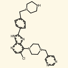 Clc1cnc2[nH]c(-c3ccc(CN4CCNCC4)cc3)nc2c1N1CCN(Cc2cncnc2)CC1